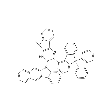 CC1(C)C2=C(N=C(c3cccc4c3-c3ccccc3C4(c3ccccc3)c3ccccc3)C(n3c4ccccc4c4cc5ccccc5cc43)N2)c2ccccc21